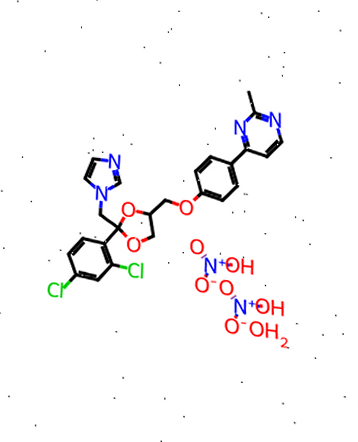 Cc1nccc(-c2ccc(OCC3COC(Cn4ccnc4)(c4ccc(Cl)cc4Cl)O3)cc2)n1.O.O=[N+]([O-])O.O=[N+]([O-])O